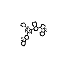 C1=CCC(c2nc(-c3ccc4c(c3)sc3ccccc34)nc(-c3ccc(C4=CC=CC5Oc6ccccc6C45)c4ccccc34)n2)C=C1